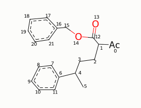 CC(=O)C(CCC(C)c1ccccc1)C(=O)OCc1ccccc1